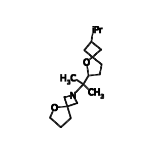 CC(C)C1CC2(CCC(C(C)(C)N3CC4(CCCO4)C3)O2)C1